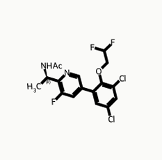 CC(=O)N[C@H](C)c1ncc(-c2cc(Cl)cc(Cl)c2OCC(F)F)cc1F